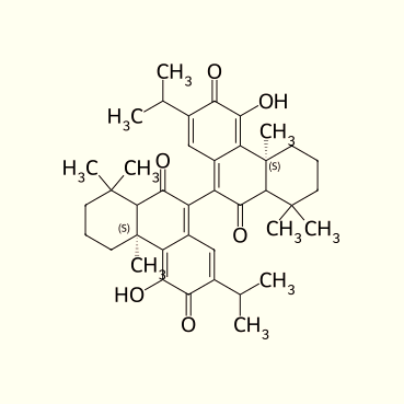 CC(C)C1=CC2=C(C3=C4C=C(C(C)C)C(=O)C(O)=C4[C@@]4(C)CCCC(C)(C)C4C3=O)C(=O)C3C(C)(C)CCC[C@]3(C)C2=C(O)C1=O